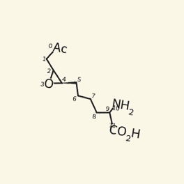 CC(=O)CC1O[C@@H]1CCCCC(N)C(=O)O